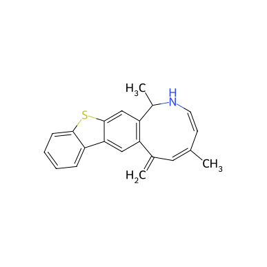 C=C1/C=C(C)\C=C/NC(C)c2cc3sc4ccccc4c3cc21